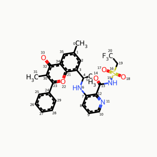 Cc1cc([C@@H](C)Nc2cccnc2C(=O)NS(=O)(=O)CC(F)(F)F)c2oc(-c3ccccc3)c(C)c(=O)c2c1